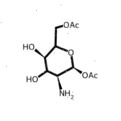 CC(=O)OCC1O[C@@H](OC(C)=O)[C@@H](N)C(O)[C@H]1O